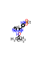 CCS(=O)(=O)Nc1ccc(-c2nn(COCC[Si](C)(C)C)c(Nc3cccnn3)c2C#N)cc1